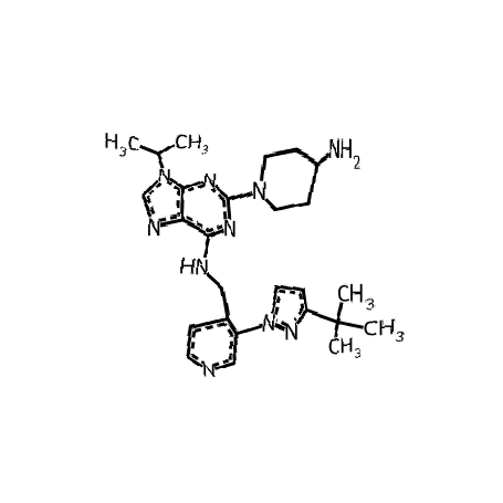 CC(C)n1cnc2c(NCc3ccncc3-n3ccc(C(C)(C)C)n3)nc(N3CCC(N)CC3)nc21